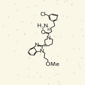 COCCCn1c([C@@H]2CCCN(C(=O)C[C@H](N)Cc3cccc(Cl)c3)C2)nc2ccccc21